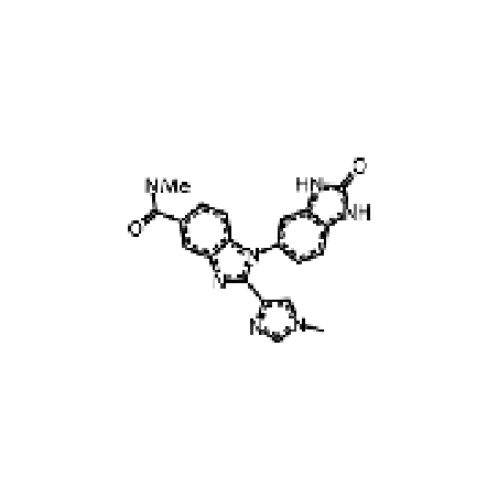 CNC(=O)c1ccc2c(c1)nc(-c1cn(C)cn1)n2-c1ccc2[nH]c(=O)[nH]c2c1